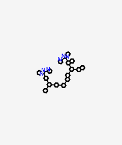 c1ccc(-c2cc(-c3ccc(-c4cccc(-c5ccc6cc(-c7cc(-c8ccc9ccccc9c8)cc(-c8ccc(-c9c(-c%10ccccn%10)nc%10ccccn9%10)c9ccccc89)c7)ccc6c5)c4)cc3)cc(-c3ccc(-c4c(-c5ccccn5)nc5ccccn45)cc3)c2)cc1